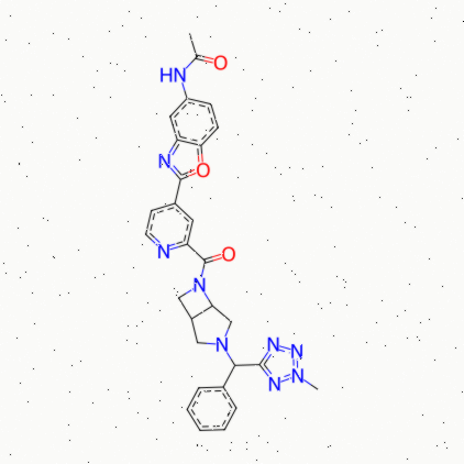 CC(=O)Nc1ccc2oc(-c3ccnc(C(=O)N4CC5CN(C(c6ccccc6)c6nnn(C)n6)CC54)c3)nc2c1